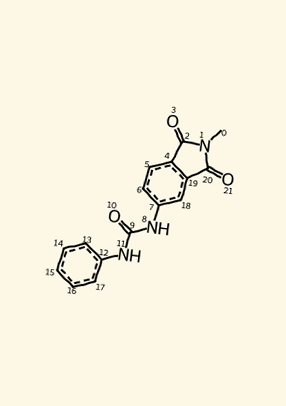 CN1C(=O)c2ccc(NC(=O)Nc3ccccc3)cc2C1=O